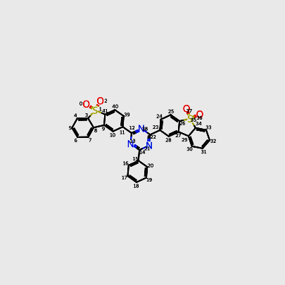 O=S1(=O)c2ccccc2-c2cc(-c3nc(-c4ccccc4)nc(-c4ccc5c(c4)-c4ccccc4S5(=O)=O)n3)ccc21